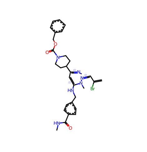 C=C(Br)/C=N\N(C)/C(=C\C(=N/C)C1CCN(C(=O)OCc2ccccc2)CC1)NCc1ccc(C(=O)NC)cc1